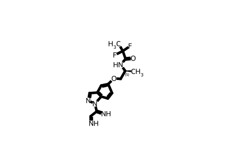 C[C@@H](COc1ccc2c(cnn2C(=N)C=N)c1)NC(=O)C(C)(F)F